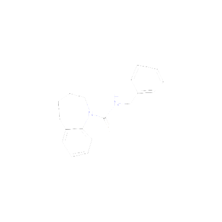 S=C(NCc1ccccc1)N1CCCCc2ccccc21